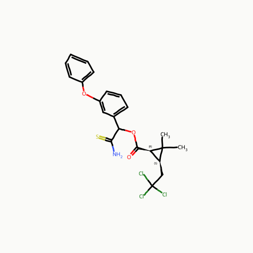 CC1(C)[C@H](C(=O)OC(C(N)=S)c2cccc(Oc3ccccc3)c2)[C@@H]1CC(Cl)(Cl)Cl